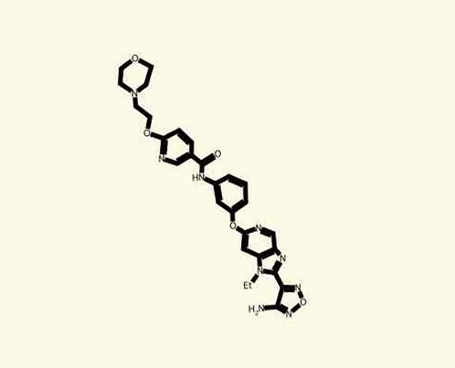 CCn1c(-c2nonc2N)nc2cnc(Oc3cccc(NC(=O)c4ccc(OCCN5CCOCC5)nc4)c3)cc21